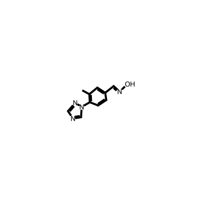 Cc1cc(C=NO)ccc1-n1cncn1